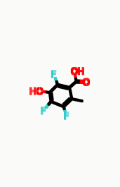 Cc1c(F)c(F)c(O)c(F)c1C(=O)O